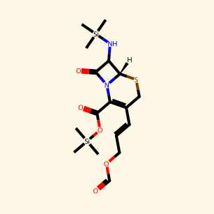 C[Si](C)(C)NC1C(=O)N2C(C(=O)O[Si](C)(C)C)=C(C=CCOC=O)CS[C@@H]12